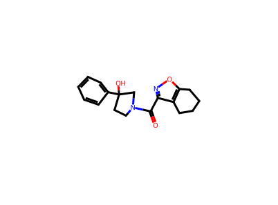 O=C(c1noc2c1CCCC2)N1CCC(O)(c2ccccc2)C1